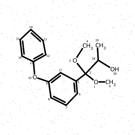 COC(OC)(c1cccc(Oc2ccccc2)c1)C(C)O